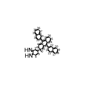 CC1(C2=CC(=N)C(=N)C=C2)C=c2c(-c3ccc4ccccc4c3)c3ccccc3c(-c3ccc4ccccc4c3)c2=CC1